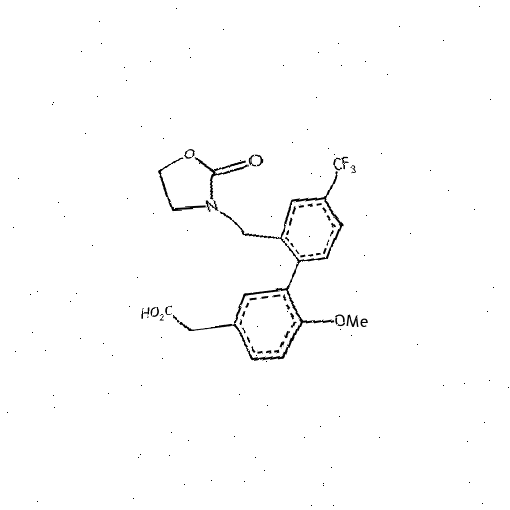 COc1ccc(CC(=O)O)cc1-c1ccc(C(F)(F)F)cc1CN1CCOC1=O